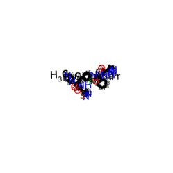 CC(C)n1nccc1C(=O)N[C@@](C)(C(=O)Nc1ccc([C@H](C)[C@@H](NC(=O)c2cnns2)C(=O)N2CCN(C)CC2)cc1F)C1CCCCCC1